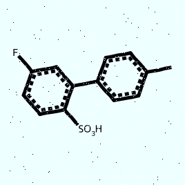 Cc1ccc(-c2cc(F)ccc2S(=O)(=O)O)cc1